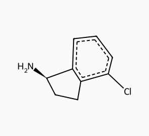 N[C@@H]1CCc2c(Cl)cccc21